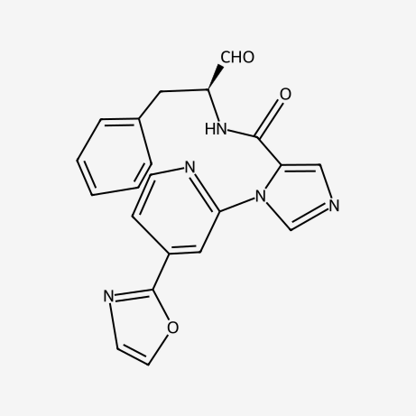 O=C[C@H](Cc1ccccc1)NC(=O)c1cncn1-c1cc(-c2ncco2)ccn1